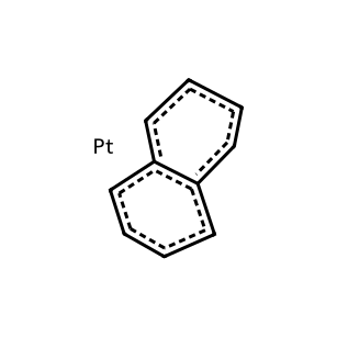 [Pt].c1ccc2ccccc2c1